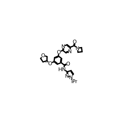 CC(C)n1ccc(NC(=O)c2cc(Oc3cnc(C(=O)N4CCC4)cn3)cc(O[C@H]3CCOC3)c2)n1